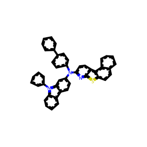 c1ccc(-c2ccc(N(c3ccc4c5ccccc5n(-c5ccccc5)c4c3)c3ccc4c(n3)sc3ccc5ccccc5c34)cc2)cc1